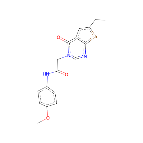 CCc1cc2c(=O)n(CC(=O)Nc3ccc(OC)cc3)cnc2s1